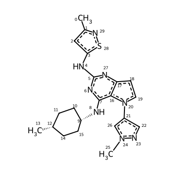 Cc1cc(Nc2nc(N[C@H]3CC[C@@H](C)CC3)c3c(ccn3-c3cnn(C)c3)n2)sn1